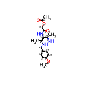 COc1ccc(CN/C(C)=C(/NC(=O)COC(C)=O)C(C)=N)cc1